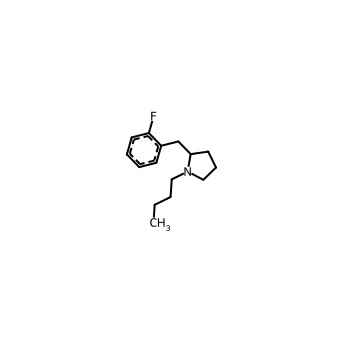 CCCCN1CCCC1Cc1ccccc1F